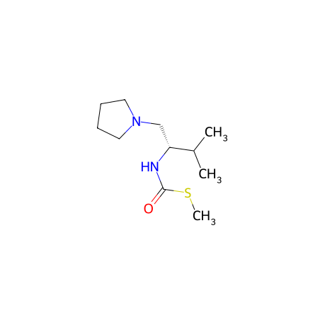 CSC(=O)N[C@H](CN1CCCC1)C(C)C